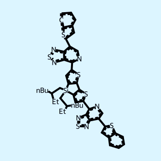 CCCCC(CC)C[Si]1(CC(CC)CCCC)c2cc(-c3ncc(-c4cc5ccccc5s4)c4nsnc34)sc2-c2sc(-c3ncc(-c4cc5ccccc5s4)c4nsnc34)cc21